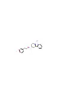 O=C(O)Cn1c2c(c3cc(F)ccc31)C[C@@H](NC(=O)CCc1ccc3c(c1)OCO3)CC2